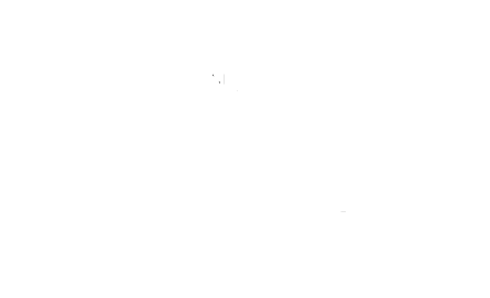 CC(N)Cc1ccc(F)cc1